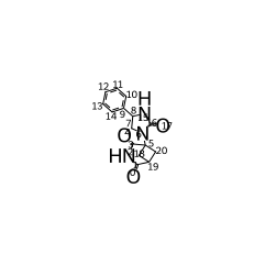 O=C1NC(=O)C2(N3CC(c4ccccc4)NC3=O)CC1C2